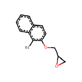 CCc1c(OCC2CO2)ccc2ccccc12